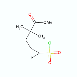 COC(=O)C(C)(C)CC1CC1S(=O)(=O)Cl